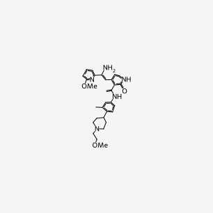 C=C(Nc1ccc(C2CCN(CCOC)CC2)c(C)c1)c1c(/C=C(\N)c2cccc(OC)n2)cc[nH]c1=O